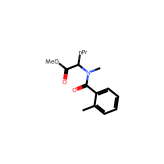 CCCC(C(=O)OC)N(C)C(=O)c1ccccc1C